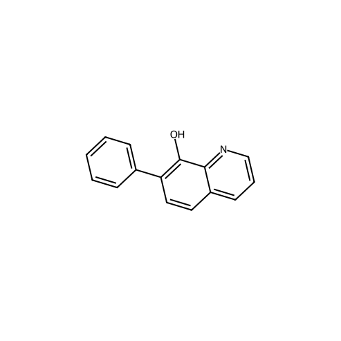 Oc1c(-c2ccccc2)ccc2cccnc12